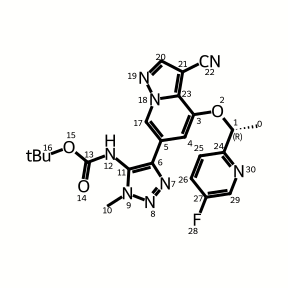 C[C@@H](Oc1cc(-c2nnn(C)c2NC(=O)OC(C)(C)C)cn2ncc(C#N)c12)c1ccc(F)cn1